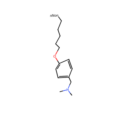 CCCCCCCCCCCCCCOc1ccc(CN(C)C)cc1